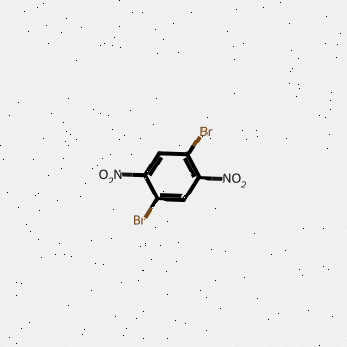 O=[N+]([O-])c1cc(Br)c([N+](=O)[O-])cc1Br